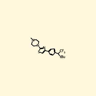 CN1CCN(c2nc(-c3ccc(C(C(C)(C)C)C(F)(F)F)cc3)cs2)CC1